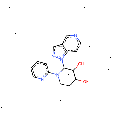 OC1CCN(c2ccccn2)C(n2ncc3cnccc32)C1O